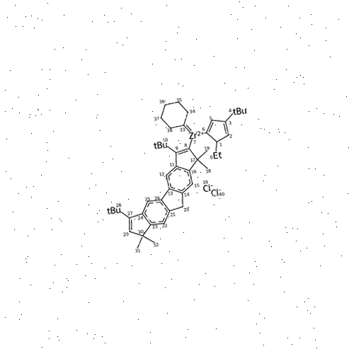 CCC1C=C(C(C)(C)C)C=[C]1[Zr+2]([C]1=C(C(C)(C)C)c2cc3c(cc2C1(C)C)Cc1cc2c(cc1-3)C(C(C)(C)C)=CC2(C)C)=[C]1CCCCC1.[Cl-].[Cl-]